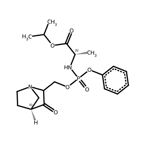 CC(C)OC(=O)[C@H](C)NP(=O)(OCC1C(=O)[C@H]2CCN1C2)Oc1ccccc1